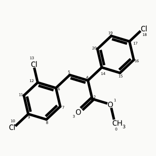 COC(=O)C(=Cc1ccc(Cl)cc1Cl)c1ccc(Cl)cc1